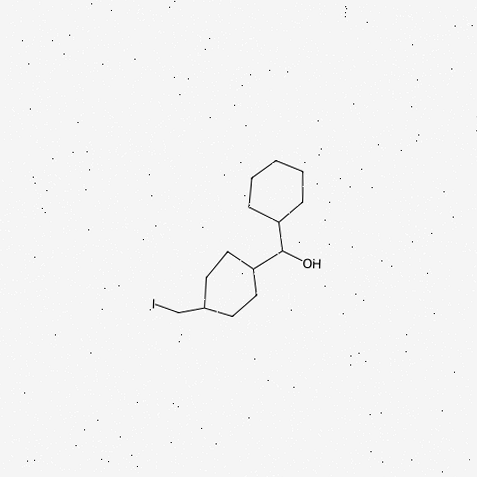 OC(C1CCCCC1)C1CCC(CI)CC1